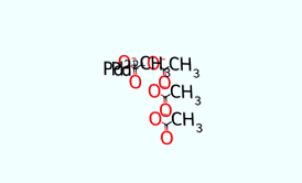 CC(=O)[O-].CC(=O)[O-].CC(=O)[O-].CC(=O)[O-].[Pd+2].[Pd+2]